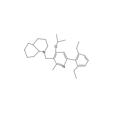 CCc1cccc(CC)c1-c1cc(OC(C)C)c(CN2CCCC3CCCCC32)c(C)n1